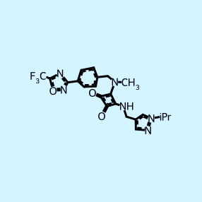 CC(C)n1cc(CNc2c(N(C)Cc3ccc(-c4noc(C(F)(F)F)n4)cc3)c(=O)c2=O)cn1